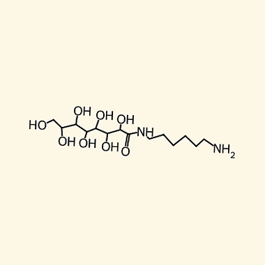 NCCCCCCNC(=O)C(O)C(O)C(O)C(O)C(O)C(O)CO